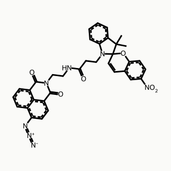 CC1(C)c2ccccc2N(CCC(=O)NCCN2C(=O)c3cccc4c(N=[N+]=[N-])ccc(c34)C2=O)C12C=Cc1cc([N+](=O)[O-])ccc1O2